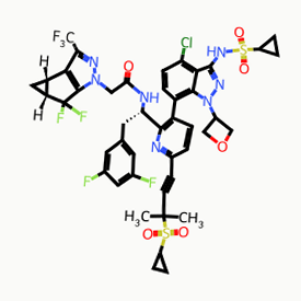 CC(C)(C#Cc1ccc(-c2ccc(Cl)c3c(NS(=O)(=O)C4CC4)nn(C4COC4)c23)c([C@H](Cc2cc(F)cc(F)c2)NC(=O)Cn2nc(C(F)(F)F)c3c2C(F)(F)[C@@H]2C[C@H]32)n1)S(=O)(=O)C1CC1